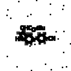 CC(C)(C)OC=O.N#Cc1ccc(-c2ccc3[nH]ccc3c2)cc1